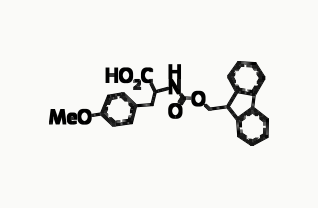 COc1ccc(CC(NC(=O)OCC2c3ccccc3-c3ccccc32)C(=O)O)cc1